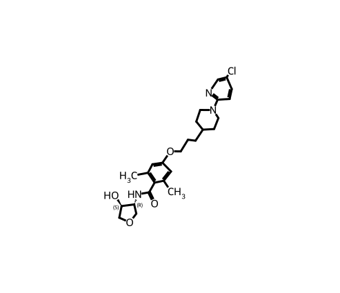 Cc1cc(OCCCC2CCN(c3ccc(Cl)cn3)CC2)cc(C)c1C(=O)N[C@@H]1COC[C@H]1O